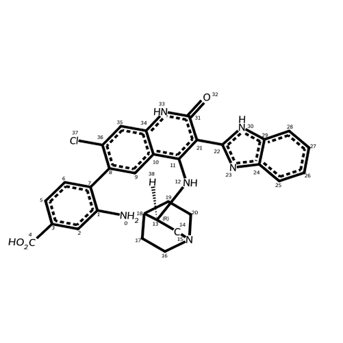 Nc1cc(C(=O)O)ccc1-c1cc2c(N[C@H]3CN4CCC3CC4)c(-c3nc4ccccc4[nH]3)c(=O)[nH]c2cc1Cl